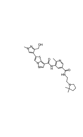 Cc1ncc(C(=O)NCCN2CCCC2(C)C)cc1NC(=O)c1cnn2cc(-c3cn(C)nc3CO)sc12